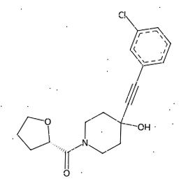 O=C([C@@H]1CCCO1)N1CCC(O)(C#Cc2cccc(Cl)c2)CC1